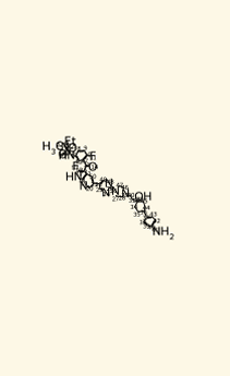 CCN(C)S(=O)(=O)Nc1ccc(F)c(C(=O)c2c[nH]c3ncc(-c4cnc(N5CCN(CCC6(O)CCC(c7ccc(N)cc7)CC6)CC5)nc4)cc23)c1F